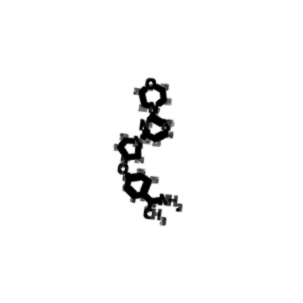 C[C@H](N)c1ccc(O[C@@H]2CCN(c3ccnc(N4CCOCC4)n3)C2)cc1